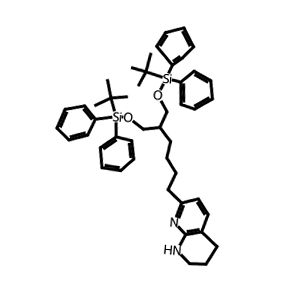 CC(C)(C)[Si](OCC(CCCCc1ccc2c(n1)NCCC2)CO[Si](c1ccccc1)(c1ccccc1)C(C)(C)C)(c1ccccc1)c1ccccc1